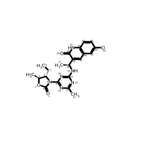 CC[C@H]1[C@H](C)OC(=O)N1c1nc(C)nc(N[C@@H](C)c2cc3cc(Cl)ccc3[nH]c2=O)n1